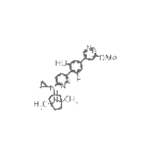 COc1cc(-c2cc(O)c(-c3ccc(N(C4CC4)[C@H]4C[C@]5(C)CC[C@](C)(C4)N5)nn3)c(F)c2)cnn1